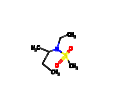 CCC(C)N(CC)S(C)(=O)=O